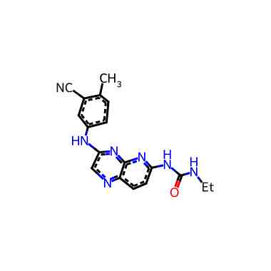 CCNC(=O)Nc1ccc2ncc(Nc3ccc(C)c(C#N)c3)nc2n1